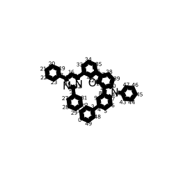 c1ccc(-c2ccc3c(c2)c2c4oc5c(-c6cc(-c7ccccc7)nc(-c7ccccc7)n6)cccc5c4ccc2n3-c2ccccc2)cc1